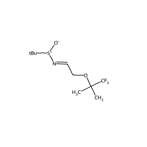 CC(C)(C)[S+]([O-])N=CCOC(C)(C)C(F)(F)F